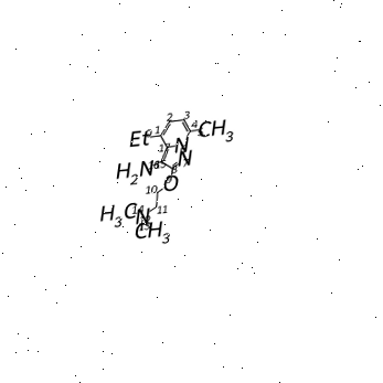 CCc1ccc(C)n2nc(OCCN(C)C)c(N)c12